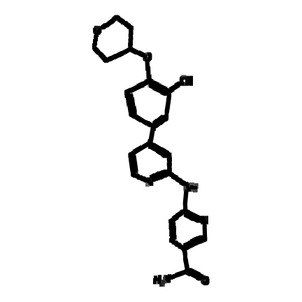 N#Cc1cc(-c2ccnc(Nc3ccc(C(N)=O)cn3)c2)ccc1OC1CCOCC1